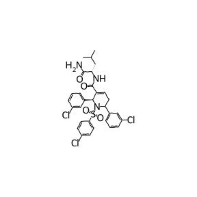 CC(C)C[C@H](NC(=O)C1=CCC(c2cccc(Cl)c2)N(S(=O)(=O)c2ccc(Cl)cc2)[C@H]1c1cccc(Cl)c1)C(N)=O